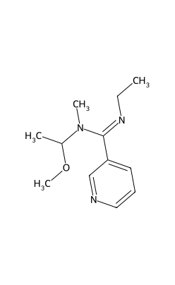 CC/N=C(/c1cccnc1)N(C)C(C)OC